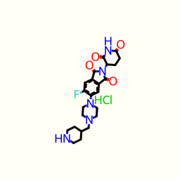 Cl.O=C1CCC(N2C(=O)c3cc(F)c(N4CCN(CC5CCNCC5)CC4)cc3C2=O)C(=O)N1